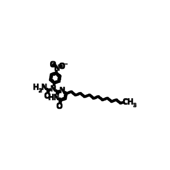 CCCCCCCCCCCCCc1cc(=O)[nH]c(N(C(N)=O)c2ccc([N+](=O)[O-])cc2)n1